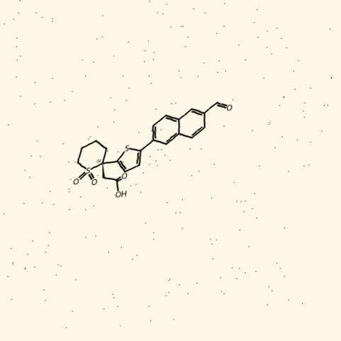 O=Cc1ccc2cc(-c3ccc([C@@]4(CC(=O)O)CCCCS4(=O)=O)s3)ccc2c1